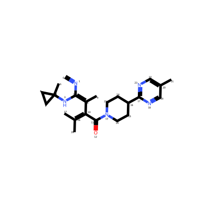 C=N/C(NC1(C)CC1)=C(\C)C(C(=O)N1CCC(c2ncc(C)cn2)CC1)=C(C)C